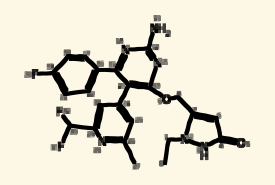 CCn1[nH]c(=O)cc1COc1nc(N)nc(-c2ccc(F)cc2)c1-c1cc(C)nc(C(F)F)c1